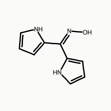 ON=C(c1ccc[nH]1)c1ccc[nH]1